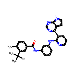 Cc1ccc(C(=O)Nc2cccc(Nc3ncccc3-c3ncnc4[nH]ccc34)c2)cc1C(C)(C)C#N